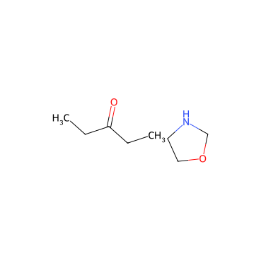 C1COCN1.CCC(=O)CC